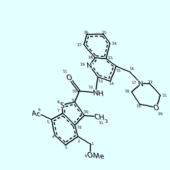 COCc1ccc(C(C)=O)c2sc(C(=O)Nc3cc(CN4CCOCC4)c4ccccc4n3)c(C)c12